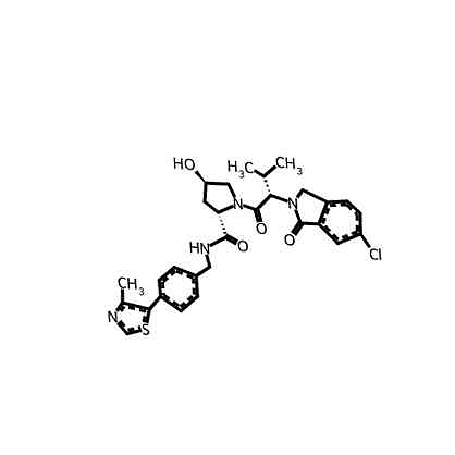 Cc1ncsc1-c1ccc(CNC(=O)[C@@H]2C[C@@H](O)CN2C(=O)[C@H](C(C)C)N2Cc3ccc(Cl)cc3C2=O)cc1